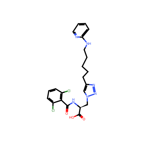 O=C(N[C@@H](Cn1cc(CCCCCNc2ccccn2)nn1)C(=O)O)c1c(Cl)cccc1Cl